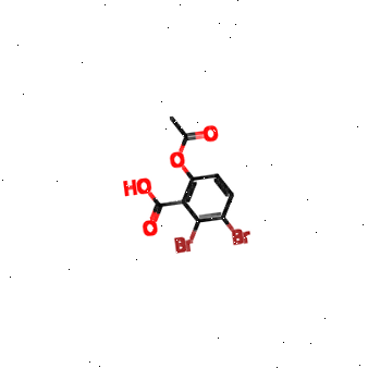 CC(=O)Oc1ccc(Br)c(Br)c1C(=O)O